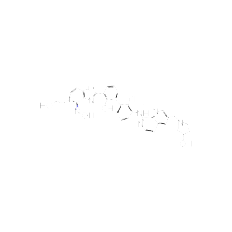 Cc1c(Nc2nccc3cc(CN4CCC(O)C4)cnc23)cccc1-c1cccc(-c2nc3/c(=N\O)n(CCO)ccc3o2)c1C